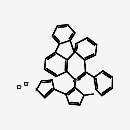 CC1C=CC(c2ccsc2)=[C]1[Zr+2](=[C](c1ccccc1)c1ccccc1)[c]1cccc2c1Cc1ccccc1-2.[Cl-].[Cl-]